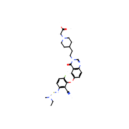 CCN(C)SNc1ccc(F)c(Oc2ccc3ncn(CCC4CCN(CC(=O)O)CC4)c(=O)c3c2)c1C#N